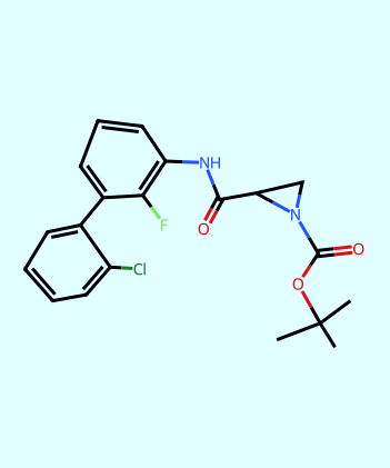 CC(C)(C)OC(=O)N1CC1C(=O)Nc1cccc(-c2ccccc2Cl)c1F